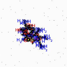 CC(=O)N[C@@H](CS)C(=O)N[C@@H](CCCNC(=N)N)C(=O)N[C@@H](CCCNC(=N)N)C(=O)N[C@@H](CCCNC(=N)N)C(=O)N[C@@H](Cc1ccccc1)C(=O)N[C@@H](Cc1c[nH]c2ccccc12)C(=O)N[C@@H](CCC(N)=O)C(=O)N[C@@H](C)C(=O)NC(C(=O)N[C@@H](CCCNC(=N)N)C(=O)N[C@@](C)(CC(C)C)C(=O)O)[C@@H](C)O